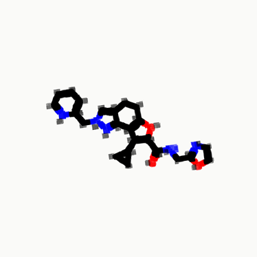 O=C(NCc1ncco1)c1oc2c(c1C1CC1)-c1nn(Cc3ccccn3)cc1CC2